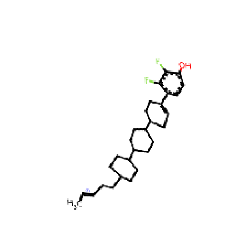 C/C=C/CCC1CCC(C2CCC(C3CC=C(c4ccc(O)c(F)c4F)CC3)CC2)CC1